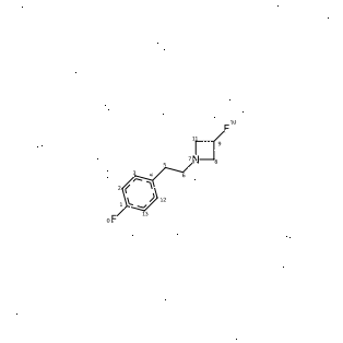 Fc1ccc(CCN2CC(F)C2)cc1